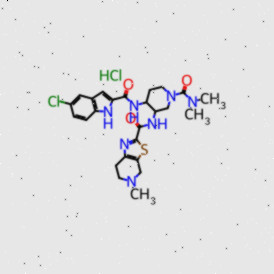 CN1CCc2nc(C(=O)NC3CN(C(=O)N(C)C)CCC3NC(=O)c3cc4cc(Cl)ccc4[nH]3)sc2C1.Cl